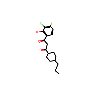 CCCC1CCC(C(=O)CC(=O)c2ccc(F)c(F)c2O)CC1